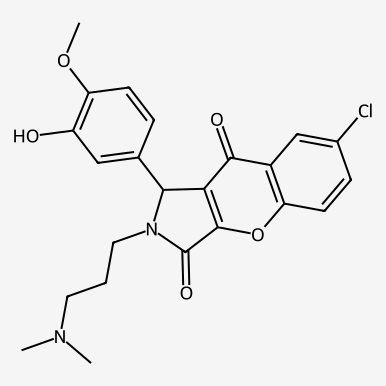 COc1ccc(C2c3c(oc4ccc(Cl)cc4c3=O)C(=O)N2CCCN(C)C)cc1O